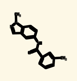 Cc1cccc(C(=O)Nc2ccc3c(cnn3C)c2)c1